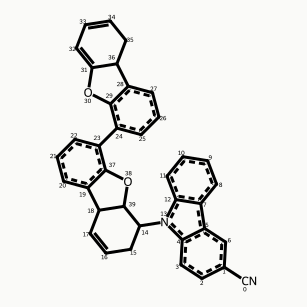 N#Cc1ccc2c(c1)c1ccccc1n2C1CC=CC2c3cccc(-c4cccc5c4OC4=CC=CCC45)c3OC21